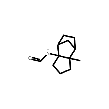 CC12CCCC1(NC=O)C1CCC2C1